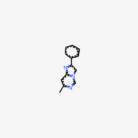 Cc1cc2nc(-c3ccccc3)cn2cn1